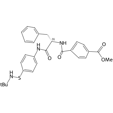 COC(=O)c1ccc(C(=O)N[C@@H](Cc2ccccc2)C(=O)Nc2ccc(SNC(C)(C)C)cc2)cc1